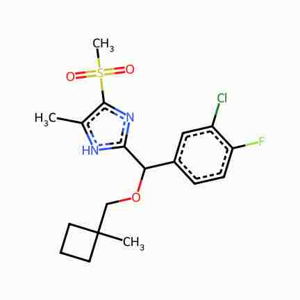 Cc1[nH]c(C(OCC2(C)CCC2)c2ccc(F)c(Cl)c2)nc1S(C)(=O)=O